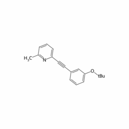 Cc1cccc(C#Cc2cccc(OC(C)(C)C)c2)n1